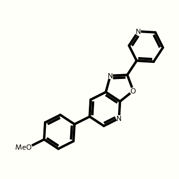 COc1ccc(-c2cnc3oc(-c4cccnc4)nc3c2)cc1